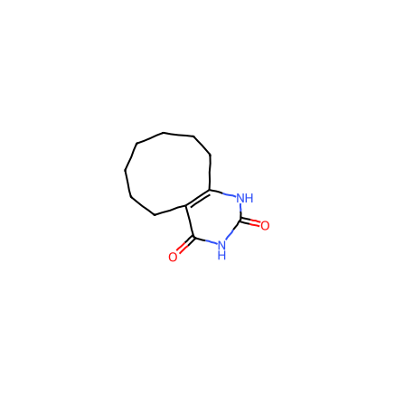 O=c1[nH]c2c(c(=O)[nH]1)CCCCCCC2